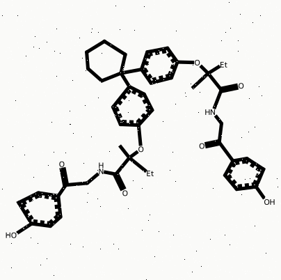 CCC(C)(Oc1ccc(C2(c3ccc(OC(C)(CC)C(=O)NCC(=O)c4ccc(O)cc4)cc3)CCCCC2)cc1)C(=O)NCC(=O)c1ccc(O)cc1